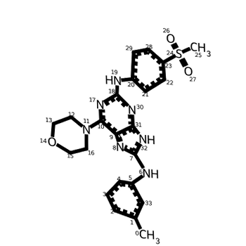 Cc1cccc(Nc2nc3c(N4CCOCC4)nc(Nc4ccc(S(C)(=O)=O)cc4)nc3[nH]2)c1